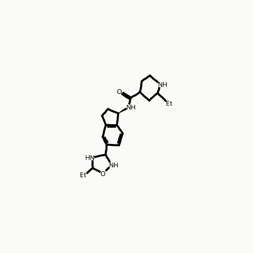 CCC1CC(C(=O)N[C@@H]2CCc3cc(C4NOC(CC)N4)ccc32)CCN1